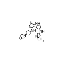 Cn1cc(Nc2ccc3[nH]c4ncnc(NC5CCC(N6CCOCC6)CC5)c4c3c2)cn1